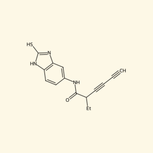 C#CC#CC(CC)C(=O)Nc1ccc2[nH]c(S)nc2c1